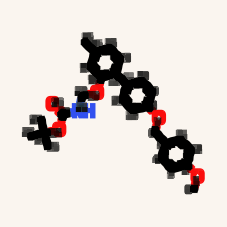 COc1ccc(COc2ccc(-c3ccc(C)cc3OCNC(=O)OC(C)(C)C)cc2)cc1